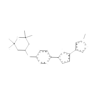 Cn1cc(-c2ccc(-c3ccc(OC4CC(C)(C)NC(C)(C)C4)nn3)s2)cn1